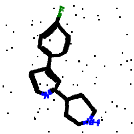 Fc1ccc(-c2ccnc(C3CCNCC3)c2)cc1